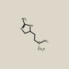 NC1=NCC(CC[C@H](N)C(=O)O)N1